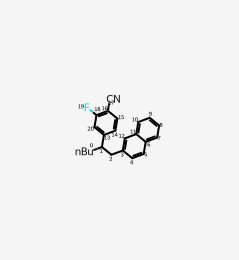 CCCCC(Cc1ccc2ccccc2c1)c1ccc(C#N)c(F)c1